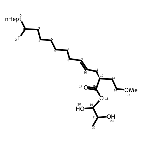 CCCCCCCC(F)CCCCCC/C=C/C[C@@H](CCOC)C(=O)OC(O)C(C)O